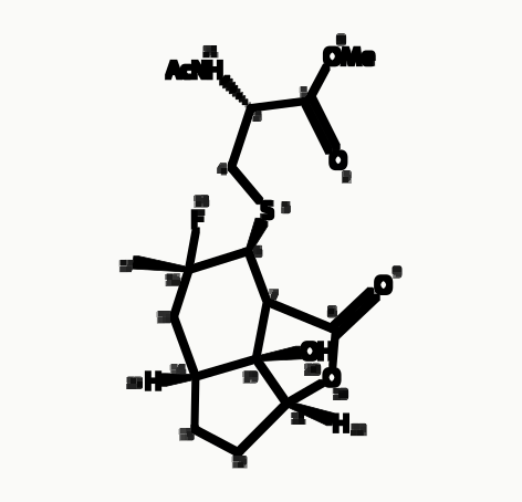 COC(=O)[C@H](CS[C@H]1C2C(=O)O[C@@H]3CC[C@H](C[C@]1(C)F)[C@]23O)NC(C)=O